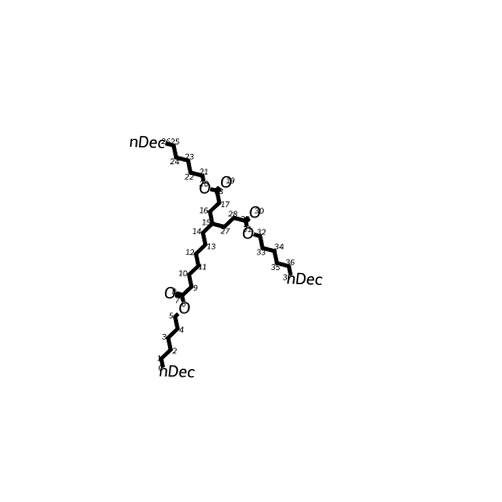 CCCCCCCCCCCCCCCOC(=O)CCCCCCC(CCC(=O)OCCCCCCCCCCCCCCC)CCC(=O)OCCCCCCCCCCCCCCC